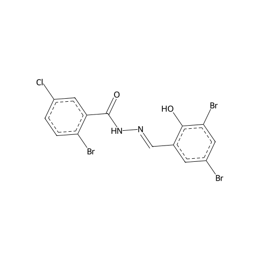 O=C(N/N=C/c1cc(Br)cc(Br)c1O)c1cc(Cl)ccc1Br